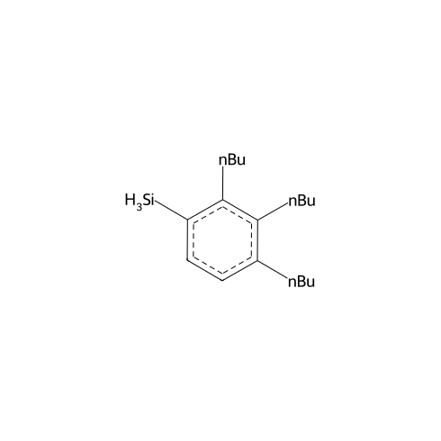 CCCCc1ccc([SiH3])c(CCCC)c1CCCC